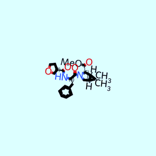 COC(=O)[C@@H]1[C@@H]2[C@H](CN1C(=O)[C@H](Cc1ccccc1)NC(=O)[C@@H]1CCOC1)C2(C)C